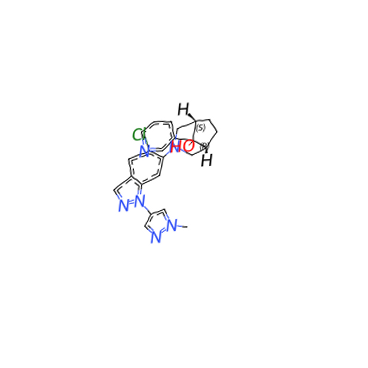 Cn1cc(-n2ncc3cc(Cl)c(N4C[C@H]5CC[C@@H](C4)C5(O)c4cccnc4)cc32)cn1